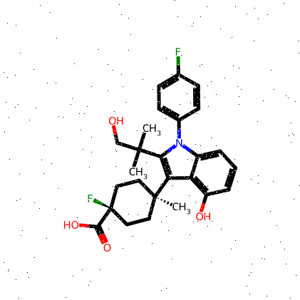 CC(C)(CO)c1c([C@]2(C)CC[C@@](F)(C(=O)O)CC2)c2c(O)cccc2n1-c1ccc(F)cc1